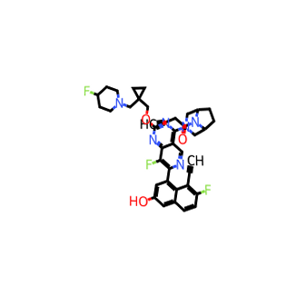 C#CCC(=O)N1C2CCC1CN(c1nc(OCC3(CN4CCC(F)CC4)CC3)nc3c(F)c(-c4cc(O)cc5ccc(F)c(C#C)c45)ncc13)C2